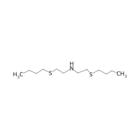 CCCCSCCNCCSCCCC